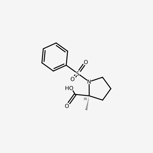 C[C@@]1(C(=O)O)CCCN1S(=O)(=O)c1ccccc1